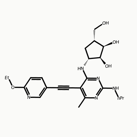 CCCNc1nc(C)c(C#Cc2ccc(OCC)nc2)c(N[C@@H]2C[C@H](CO)[C@@H](O)[C@H]2O)n1